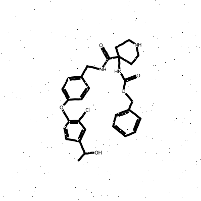 CC(O)c1ccc(Oc2ccc(CNC(=O)C3(NC(=O)OCc4ccccc4)CCNCC3)cc2)c(Cl)c1